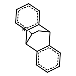 N#CC1CC2c3ccccc3C1c1ccccc12